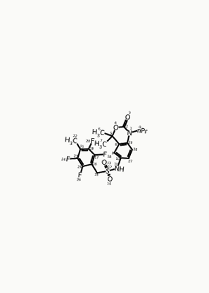 CCCN1C(=O)OC(C)(C)c2cc(NS(=O)(=O)Cc3c(F)c(F)c(C)c(F)c3F)ccc21